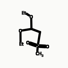 CCOC(CS(C)(=O)=O)OCC